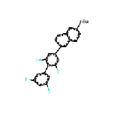 CCCCc1ccc2cc(-c3cc(F)c(-c4cc(F)cc(F)c4)c(F)c3)ccc2c1